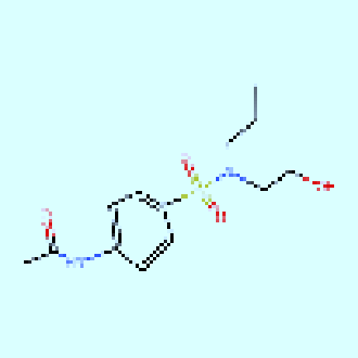 CCCN(CCO)S(=O)(=O)c1ccc(NC(C)=O)cc1